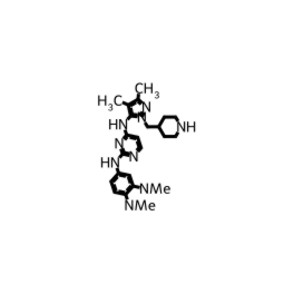 CNc1ccc(Nc2nccc(Nc3c(C)c(C)nn3CC3CCNCC3)n2)cc1NC